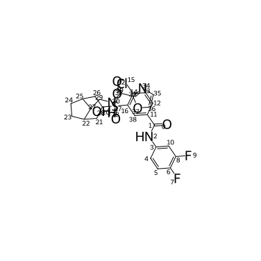 O=C(Nc1ccc(F)c(F)c1)c1ccc(Cl)c(S(=O)(=O)C2CC3CCC(C2)C3(O)CNC(=O)c2ncco2)c1